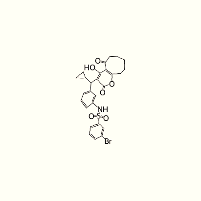 O=C1CCCCCc2oc(=O)c(C(c3cccc(NS(=O)(=O)c4cccc(Br)c4)c3)C3CC3)c(O)c21